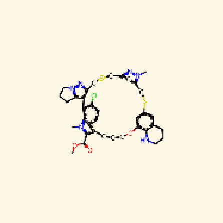 COC(=O)c1c2c3ccc(Cl)c(c3n1C)-c1c(nn3c1CCC3)CSCc1cc(n(C)n1)CSc1cc3c(c(c1)OCCC2)NCCC3